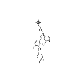 C[Si](C)(C)CCOCn1cc(-c2ccc(F)c(OCC3CCC(F)(F)CC3)c2)c2c(Cl)nccc21